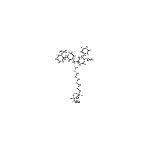 CCCC[Si](C)(C)O[Si](C)(C)CCCCCCCCCCC(c1ccc(OC)c(-c2ccccc2)c1)c1ccc(OC(C)=O)c(-c2ccccc2)c1